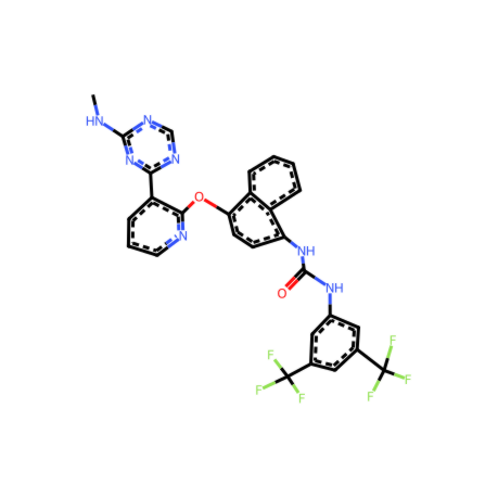 CNc1ncnc(-c2cccnc2Oc2ccc(NC(=O)Nc3cc(C(F)(F)F)cc(C(F)(F)F)c3)c3ccccc23)n1